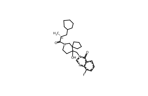 C[C@H](CC1CCCCC1)C(=O)N1CCC(O)(Cn2cnc3c(F)cccc3c2=O)C2(CCCC2)C1